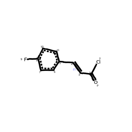 O=C(Cl)/C=C/c1ccc(F)cc1